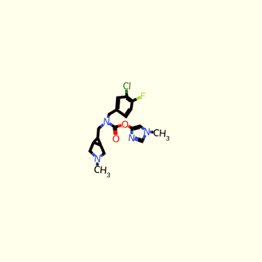 CN1CC2C(C1)C2CN(Cc1ccc(F)c(Cl)c1)C(=O)Oc1cn(C)cn1